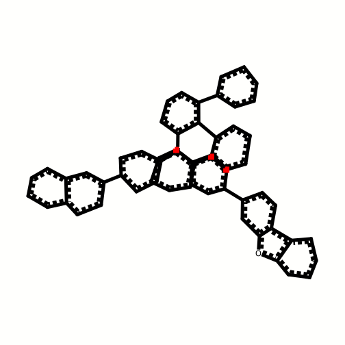 c1ccc(-c2ccccc2-c2c(-c3ccccc3)cccc2N(c2ccc(-c3ccc4ccccc4c3)cc2)c2ccc(-c3ccc4c(c3)oc3ccccc34)cc2)cc1